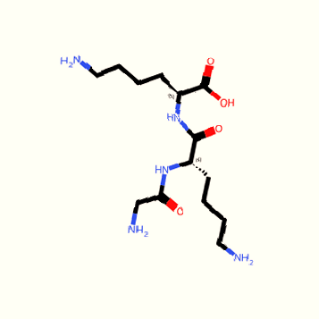 NCCCC[C@H](NC(=O)[C@H](CCCCN)NC(=O)CN)C(=O)O